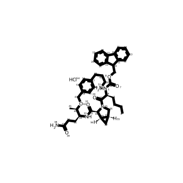 CCCC[C@H](NC(=O)OCC1c2ccccc2-c2ccccc21)C(=O)N1C[C@H]2C[C@H]2[C@H]1C(=O)N[C@@H](CCC(N)=O)[C@@H](C)OCc1ccc(CCCN)cc1.Cl